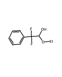 CCOC(O)C(F)(F)c1ccccc1